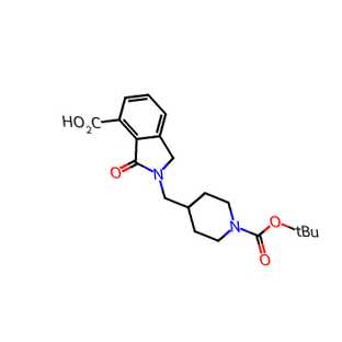 CC(C)(C)OC(=O)N1CCC(CN2Cc3cccc(C(=O)O)c3C2=O)CC1